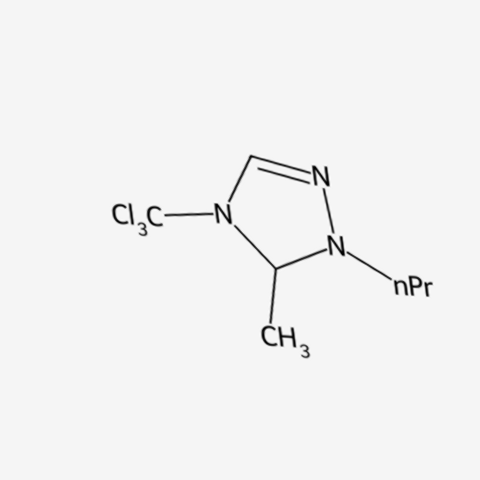 CCCN1N=CN(C(Cl)(Cl)Cl)C1C